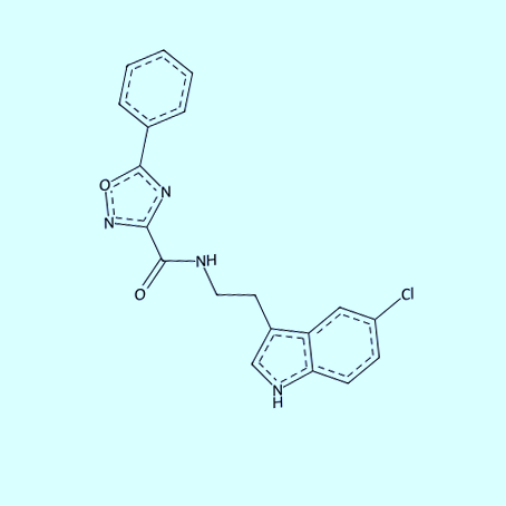 O=C(NCCc1c[nH]c2ccc(Cl)cc12)c1noc(-c2ccccc2)n1